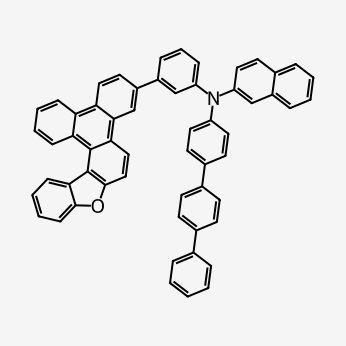 c1ccc(-c2ccc(-c3ccc(N(c4cccc(-c5ccc6c7ccccc7c7c(ccc8oc9ccccc9c87)c6c5)c4)c4ccc5ccccc5c4)cc3)cc2)cc1